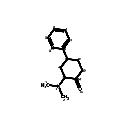 CN(C)C1CC(c2ccccn2)CCC1=O